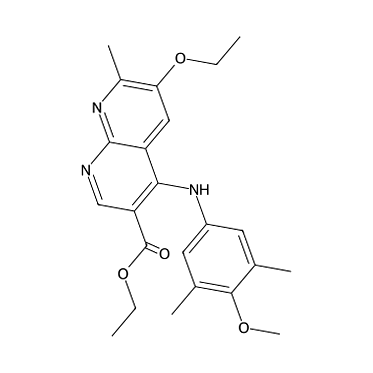 CCOC(=O)c1cnc2nc(C)c(OCC)cc2c1Nc1cc(C)c(OC)c(C)c1